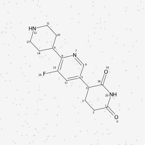 O=C1CCC(c2cnc(C3CCNCC3)c(F)c2)C(=O)N1